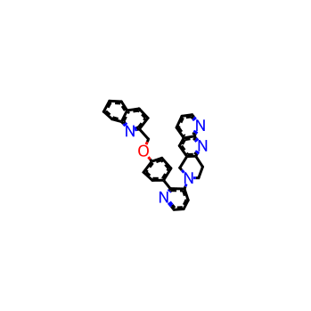 c1cnc(-c2ccc(OCc3ccc4ccccc4n3)cc2)c(N2CCc3nc4ncccc4cc3C2)c1